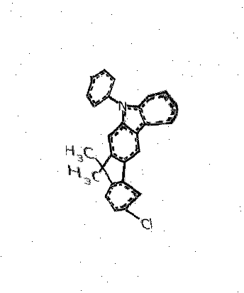 CC1(C)c2ccc(Cl)cc2-c2cc3c4ccccc4n(-c4ccccc4)c3cc21